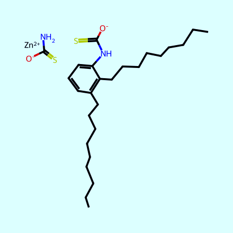 CCCCCCCCCc1cccc(NC([O-])=S)c1CCCCCCCCC.NC([O-])=S.[Zn+2]